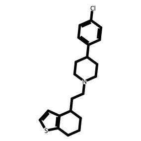 Clc1ccc(C2CCN(CCC3CCCc4sccc43)CC2)cc1